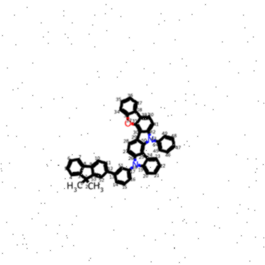 CC1(C)c2ccccc2-c2ccc(-c3cccc(-n4c5ccccc5c5c4ccc4c6c7oc8ccccc8c7ccc6n(-c6ccccc6)c45)c3)cc21